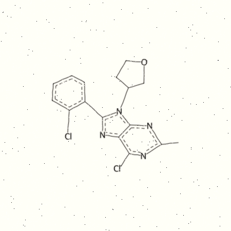 Cc1nc(Cl)c2nc(-c3ccccc3Cl)n(C3CCOC3)c2n1